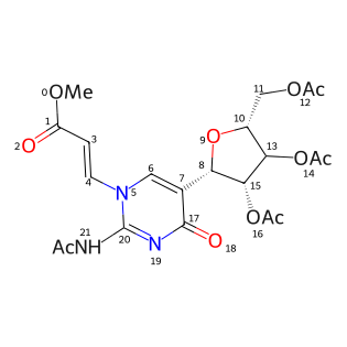 COC(=O)/C=C/n1cc([C@@H]2O[C@H](COC(C)=O)C(OC(C)=O)[C@@H]2OC(C)=O)c(=O)nc1NC(C)=O